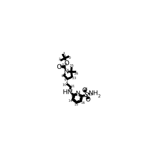 CC(C)(C)OC(=O)N1C[C@@H](CCNc2cccc(S(N)(=O)=O)n2)CC1(C)C